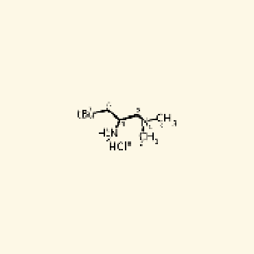 CN(C)CC(N)CC(C)(C)C.Cl